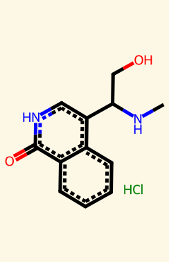 CNC(CO)c1c[nH]c(=O)c2ccccc12.Cl